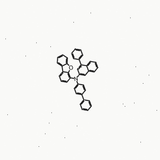 c1ccc(-c2ccc(N(c3cc(-c4ccccc4)c4ccccc4c3)c3cccc4c3oc3ccccc34)cc2)cc1